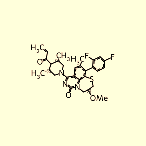 C=CC(=O)C1[C@H](C)CN(c2nc(=O)n3c4c(c(-c5ccc(F)cc5F)c(C)cc24)SC[C@@H](OC)C3)C[C@@H]1C